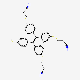 CSc1ccc(C(=C(c2ccc(SCCC#N)cc2)c2ccc(SCCC#N)cc2)c2ccc(SCCC#N)cc2)cc1